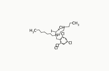 C#CC(I)[N+](CCCCCCC)(CCCCCCC)Cc1c(Cl)cc(Cl)cc1Cl.[Cl-]